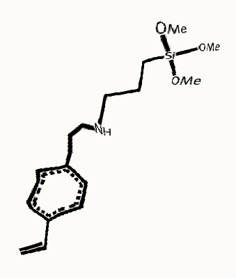 C=Cc1ccc(CNCCC[Si](OC)(OC)OC)cc1